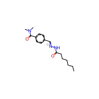 CCCCCCC(=O)N/N=C/c1ccc(C(=O)N(C)C)cc1